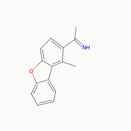 CC(=N)c1ccc2oc3ccccc3c2c1C